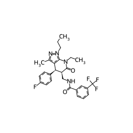 CCCn1nc(C)c2c1N(CC)C(=O)[C@@H](CNC(=O)c1cccc(C(F)(F)F)c1)[C@H]2c1ccc(F)cc1